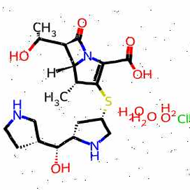 C[C@@H](O)[C@H]1C(=O)N2C(C(=O)O)=C(S[C@@H]3CN[C@H]([C@H](O)[C@@H]4CCNC4)C3)[C@H](C)[C@H]12.Cl.O.O.O